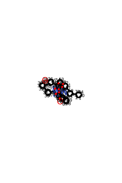 c1ccc(-c2ccc3c(c2)c2ccccc2n3-c2c(-c3cccc(-c4ccc5oc6cccc(-c7cccc(-c8nc(-c9ccccc9)nc(-c9ccccc9)n8)c7)c6c5c4)c3)ccc3oc4ccccc4c23)cc1